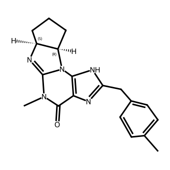 Cc1ccc(Cc2nc3c([nH]2)N2C(=N[C@H]4CCC[C@H]42)N(C)C3=O)cc1